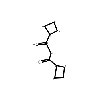 O=C(CC(=O)C1CCC1)C1CCC1